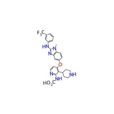 Cn1c(Nc2cccc(C(F)(F)F)c2)nc2cc(Oc3ccnc(NC(=O)O)c3C3CCNCC3)ccc21